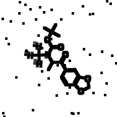 [2H]C([2H])([2H])N(C(=O)OC(C)(C)C)C(C)C(=O)c1ccc2c(c1)OCO2